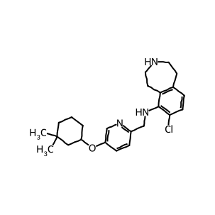 CC1(C)CCCC(Oc2ccc(CNc3c(Cl)ccc4c3CCNCC4)nc2)C1